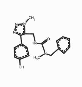 CN(Cc1ccccc1)C(=O)NCc1c(-c2ccc(O)cc2)nnn1C